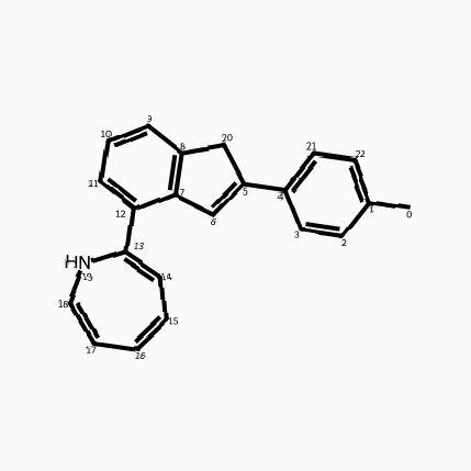 Cc1ccc(C2=Cc3c(cccc3C3=CC=CC=CN3)C2)cc1